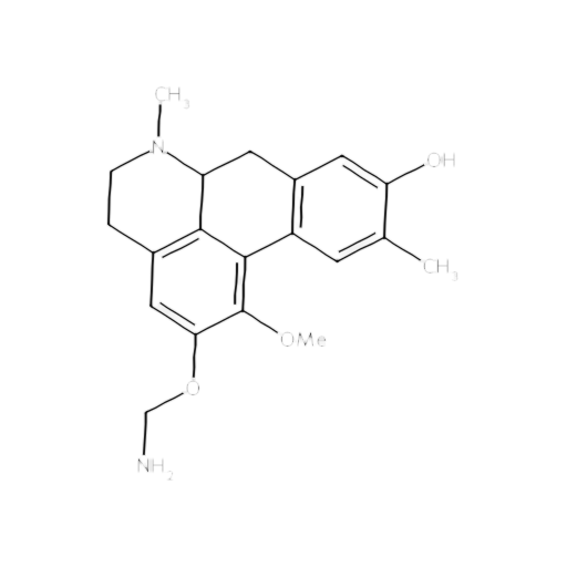 COc1c(OCN)cc2c3c1-c1cc(C)c(O)cc1CC3N(C)CC2